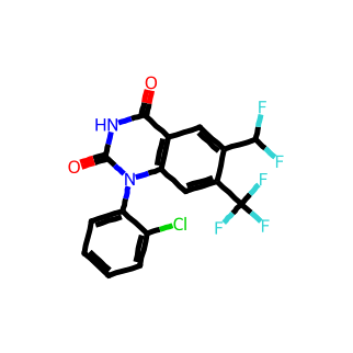 O=c1[nH]c(=O)n(-c2ccccc2Cl)c2cc(C(F)(F)F)c(C(F)F)cc12